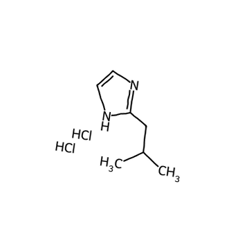 CC(C)Cc1ncc[nH]1.Cl.Cl